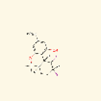 CCCCCc1cc(O)c2c(c1)OC(C)(C)[C@@H]1CCC(C)(I)C(I)[C@@H]21